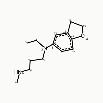 CCN(CCCNC)c1ccc2c(c1)CCO2